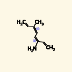 C=C/C(C)=C\C=C(\N)C=C